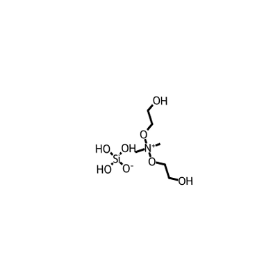 C[N+](C)(OCCO)OCCO.[O-][Si](O)(O)O